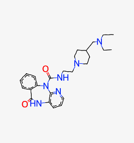 CCN(CC)CC1CCN(CCNC(=O)N2c3ccccc3C(=O)Nc3cccnc32)CC1